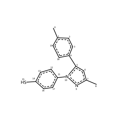 Cc1ccc(-c2cc(C)nn2-c2ccc(S)cc2)cc1